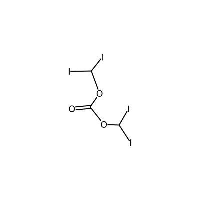 O=C(OC(I)I)OC(I)I